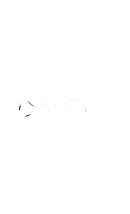 COCC(O)CN1CCN(CCc2ccccc2)CC1